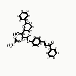 CC(=O)NC1C(Oc2ccc(/C=C/C(=O)c3ccccc3)cc2)OC2COC(c3ccccc3)OC2C1O